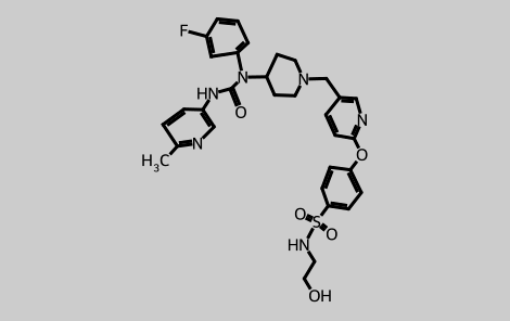 Cc1ccc(NC(=O)N(c2cccc(F)c2)C2CCN(Cc3ccc(Oc4ccc(S(=O)(=O)NCCO)cc4)nc3)CC2)cn1